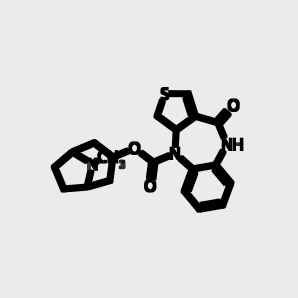 CN1C2CCC1CC(OC(=O)N1c3ccccc3NC(=O)C3=CSCC31)C2